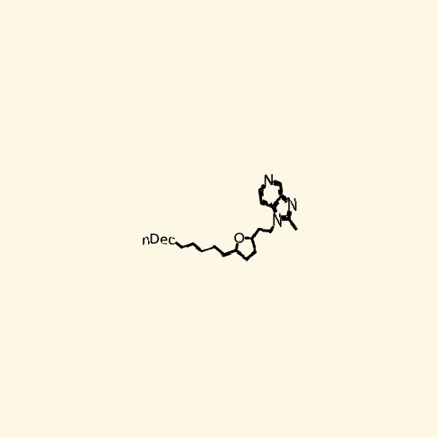 CCCCCCCCCCCCCCCC1CCC(CCn2c(C)nc3cnccc32)O1